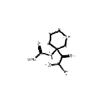 COC(=O)NC1(C(=O)C(C)C(C)C)CCCNC1